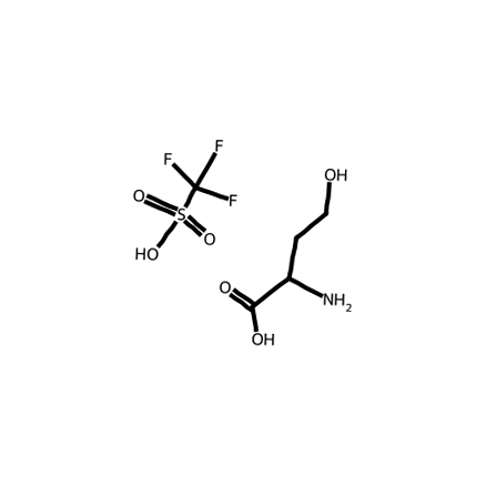 NC(CCO)C(=O)O.O=S(=O)(O)C(F)(F)F